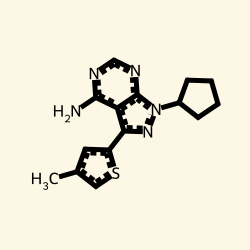 Cc1csc(-c2nn(C3CCCC3)c3ncnc(N)c23)c1